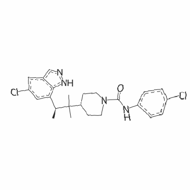 C[C@@H](c1cc(Cl)cc2cn[nH]c12)C(C)(C)C1CCN(C(=O)Nc2ccc(Cl)cc2)CC1